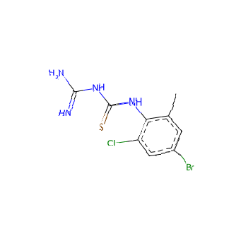 Cc1cc(Br)cc(Cl)c1NC(=S)NC(=N)N